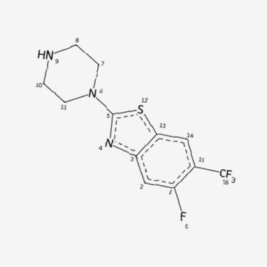 Fc1cc2nc(N3CCNCC3)sc2cc1C(F)(F)F